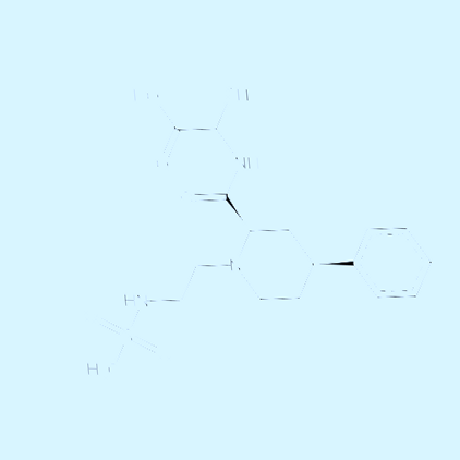 CC(NC(=O)[C@H]1C[C@@H](c2ccccc2)CCN1CCNS(C)(=O)=O)C(=O)O